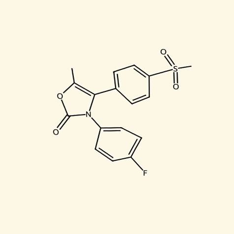 Cc1oc(=O)n(-c2ccc(F)cc2)c1-c1ccc(S(C)(=O)=O)cc1